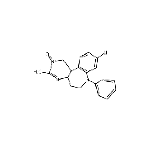 CC1=NC2CCN(c3ccccc3)c3cc(Cl)ccc3C2C[N+]1=O